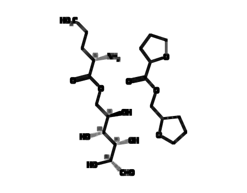 N[C@@H](CCC(=O)O)C(=O)OC[C@@H](O)[C@@H](O)[C@H](O)[C@@H](O)C=O.O=C(OCC1CCCO1)C1CCCO1